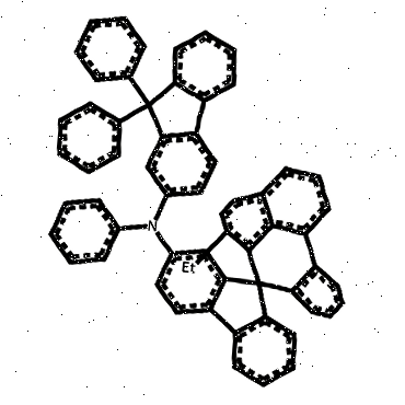 CCc1ccc2cccc3c2c1C1(c2ccccc2-c2ccc(N(c4ccccc4)c4ccc5c(c4)C(c4ccccc4)(c4ccccc4)c4ccccc4-5)cc21)c1ccccc1-3